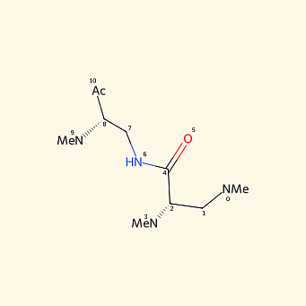 CNC[C@H](NC)C(=O)NC[C@H](NC)C(C)=O